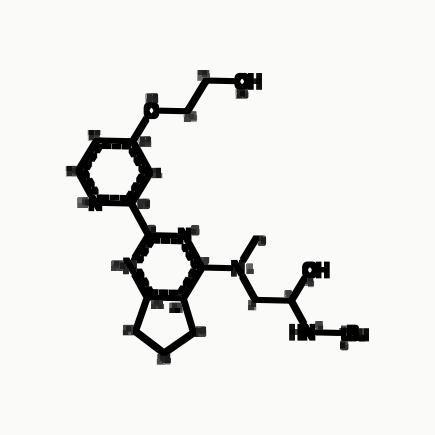 CN(CC(O)NC(C)(C)C)c1nc(-c2cc(OCCO)ccn2)nc2c1CCC2